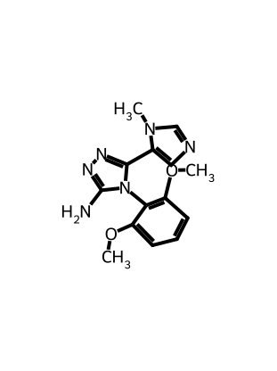 COc1cccc(OC)c1-n1c(N)nnc1-c1cncn1C